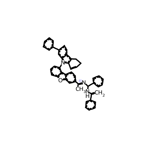 C=C(NC(/N=C(\C)c1ccc2c(c1)oc1cccc(-n3c4c(c5ccc(-c6ccccc6)cc53)CCC=C4)c12)c1ccccc1)c1ccccc1